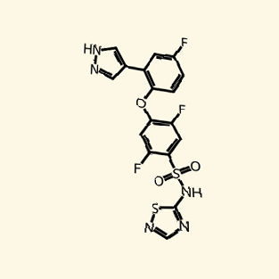 O=S(=O)(Nc1ncns1)c1cc(F)c(Oc2ccc(F)cc2-c2cn[nH]c2)cc1F